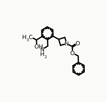 CC(O)c1cccc(C2CN(C(=O)OCc3ccccc3)C2)c1CN